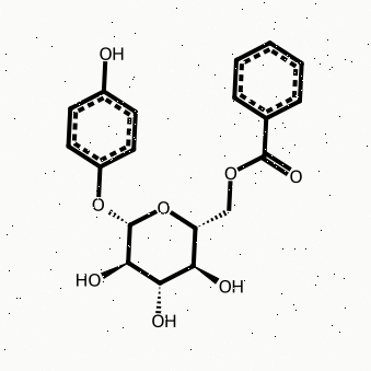 O=C(OC[C@H]1O[C@@H](Oc2ccc(O)cc2)[C@H](O)[C@@H](O)[C@@H]1O)c1ccccc1